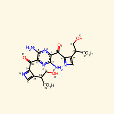 Nc1nc(C(=O)C2=NC=C2C(CO)C(=O)O)c(N)nc1C(=O)C1=NC=C1C(CO)C(=O)O